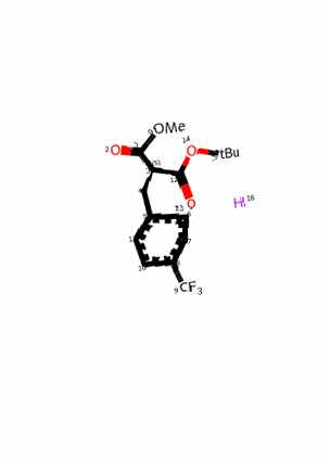 COC(=O)[C@H](Cc1ccc(C(F)(F)F)cc1)C(=O)OC(C)(C)C.I